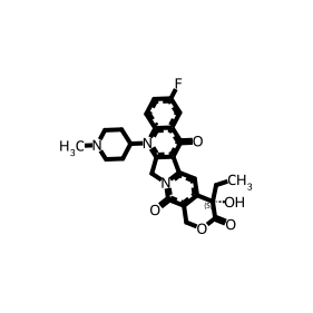 CC[C@@]1(O)C(=O)OCc2c1cc1n(c2=O)Cc2c-1c(=O)c1cc(F)ccc1n2C1CCN(C)CC1